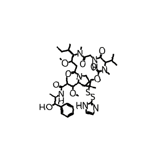 CCC(C)C(C(CC(=O)N1CCCC1C(OC)C(C)C(=O)NC(C)C(O)c1ccccc1)OC)N(C)C(=O)CNC(=O)C(C(C)C)N(C)C(=O)OCC(C)(C)SSc1ncc[nH]1